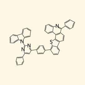 c1ccc(-c2cc(-c3ccc(-c4cccc5c4sc4c5ccc5c(-c6ccccc6)nc6ccccc6c54)cc3)nc(-n3c4ccccc4c4ccccc43)n2)cc1